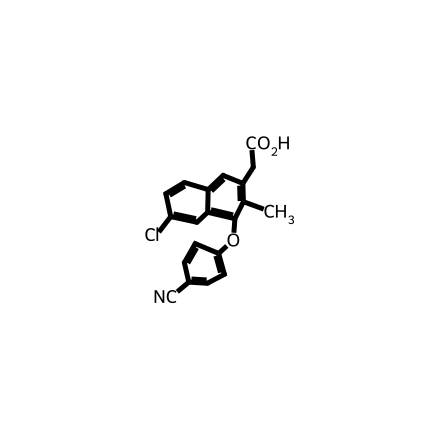 Cc1c(CC(=O)O)cc2ccc(Cl)cc2c1Oc1ccc(C#N)cc1